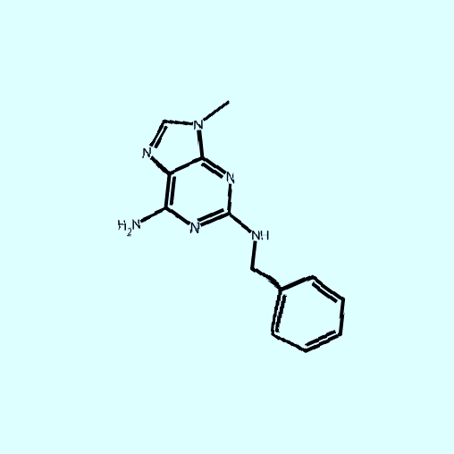 Cn1cnc2c(N)nc(NCc3ccccc3)nc21